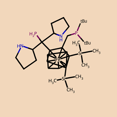 CC(C)(C)P(C[C]12[C]3(C(P)(C4CCCN4)C4CCCN4)[CH]4[C]5([Si](C)(C)C)[C]1([Si](C)(C)C)[Fe]42351678[CH]2[CH]1[CH]6[CH]7[CH]28)C(C)(C)C